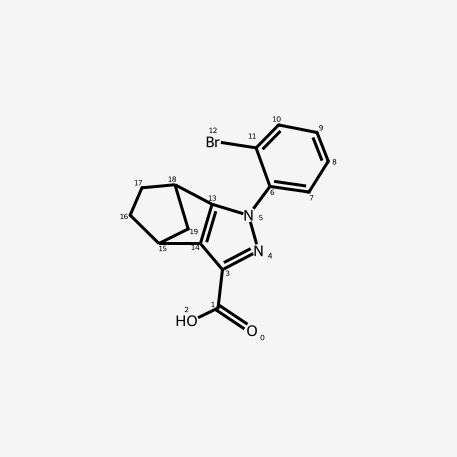 O=C(O)c1nn(-c2ccccc2Br)c2c1C1CCC2C1